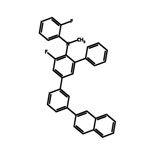 CN(c1ccccc1F)c1c(F)cc(-c2cccc(-c3ccc4ccccc4c3)c2)cc1-c1ccccc1